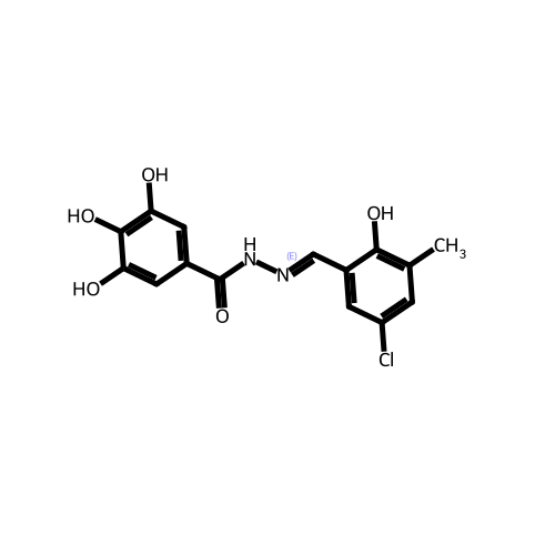 Cc1cc(Cl)cc(/C=N/NC(=O)c2cc(O)c(O)c(O)c2)c1O